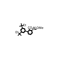 CCC(C)(C)c1cc(-c2cccc(OCOC)c2C(=O)O)cc(C(C)(C)CC)c1